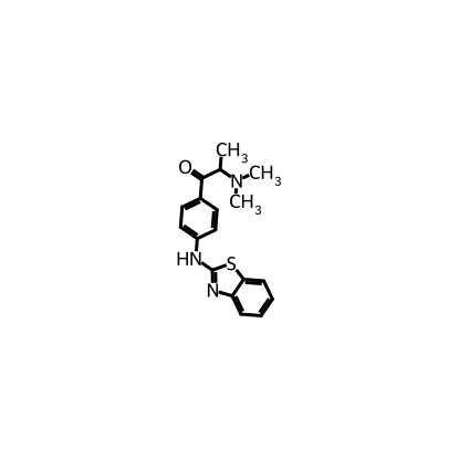 CC(C(=O)c1ccc(Nc2nc3ccccc3s2)cc1)N(C)C